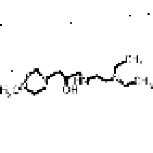 CCN(CC)CCNCC(O)CN1CCN(C)CC1